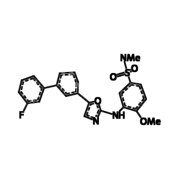 CNS(=O)(=O)c1ccc(OC)c(Nc2ncc(-c3cccc(-c4cccc(F)c4)c3)o2)c1